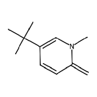 C=C1C=CC(C(C)(C)C)=CN1C